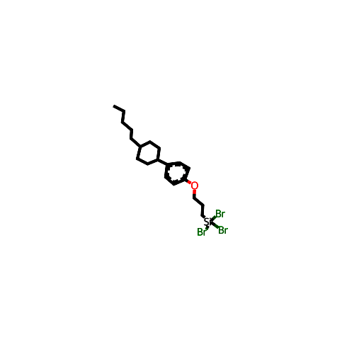 CCCCCC1CCC(c2ccc(OCCC[Si](Br)(Br)Br)cc2)CC1